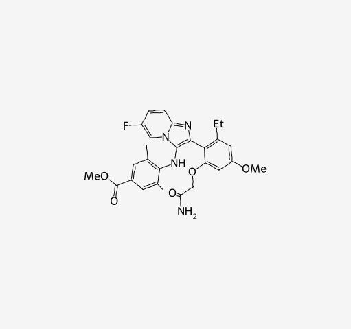 CCc1cc(OC)cc(OCC(N)=O)c1-c1nc2ccc(F)cn2c1Nc1c(C)cc(C(=O)OC)cc1C